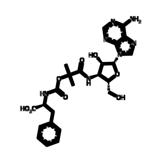 CC(C)(OC(=O)N[C@@H](Cc1ccccc1)C(=O)O)C(=O)N[C@H]1[C@@H](O)[C@H](n2cnc3c(N)ncnc32)O[C@@H]1CO